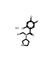 CC(C)CN(C(=O)c1cc(F)c(Cl)cc1Cl)[C@H]1CCNC1.Cl